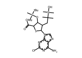 COC(=O)C1SC(n2cnc3c(N)nc(Cl)nc32)C(CC(C)(C)[Si](C)(C)O)C1O[Si](C)(C)C(C)(C)C